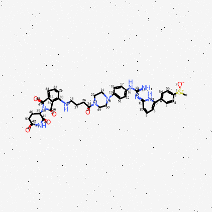 C[S+]([O-])c1ccc(-c2ccc/c(=N/C(=N)Nc3ccc(N4CCN(C(=O)CCCNc5cccc6c5C(=O)N(C5CCC(=O)NC5=O)C6=O)CC4)cc3)[nH]2)cc1